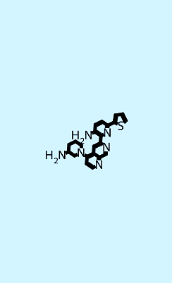 Nc1ccc(-c2cccs2)nc1-c1cc2c(N3CCCC(N)C3)ccnc2cn1